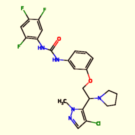 Cn1ncc(Cl)c1C(COc1cccc(NC(=O)Nc2cc(F)c(F)cc2F)c1)N1CCCC1